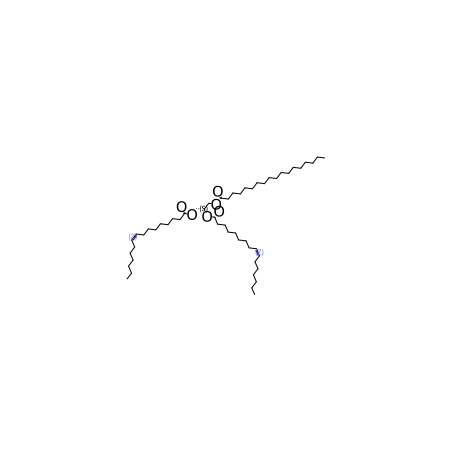 CCCCCC/C=C\CCCCCCCC(=O)OC[C@H](COC(=O)CCCCCCCCCCCCCCCCC)OC(=O)CCCCCCC/C=C\CCCCCC